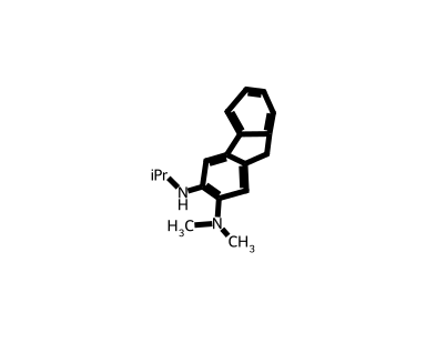 CC(C)Nc1cc2c(cc1N(C)C)Cc1ccccc1-2